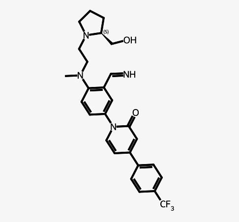 CN(CCN1CCC[C@H]1CO)c1ccc(-n2ccc(-c3ccc(C(F)(F)F)cc3)cc2=O)cc1C=N